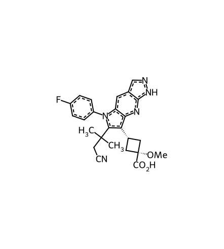 CO[C@]1(C(=O)O)C[C@H](c2c(C(C)(C)CC#N)n(-c3ccc(F)cc3)c3cc4cn[nH]c4nc32)C1